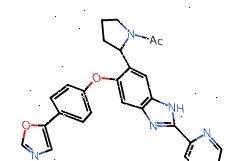 CC(=O)N1CCCC1c1cc2[nH]c(-c3ccccn3)nc2cc1Oc1ccc(-c2cnco2)cc1